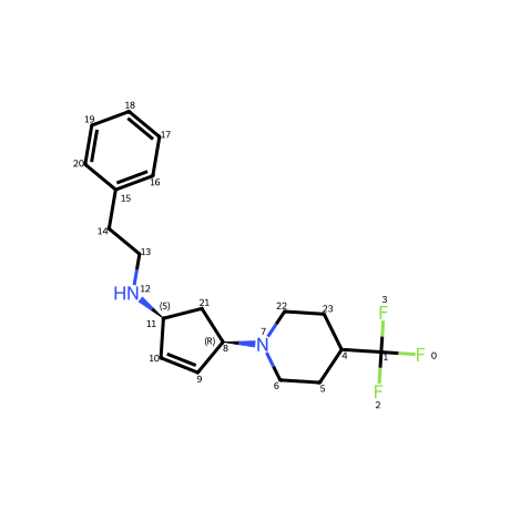 FC(F)(F)C1CCN([C@H]2C=C[C@@H](NCCc3ccccc3)C2)CC1